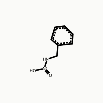 O=[N+](O)NCc1ccccc1